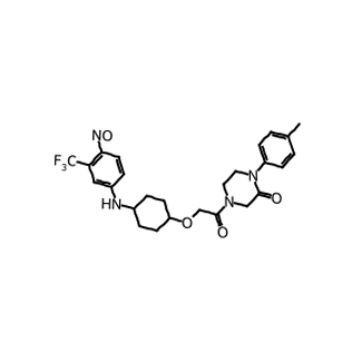 Cc1ccc(N2CCN(C(=O)COC3CCC(Nc4ccc(N=O)c(C(F)(F)F)c4)CC3)CC2=O)cc1